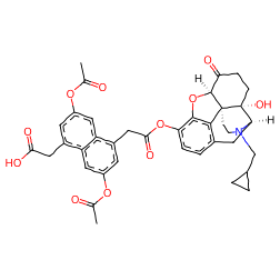 CC(=O)Oc1cc(CC(=O)Oc2ccc3c4c2O[C@H]2C(=O)CC[C@@]5(O)[C@@H](C3)N(CC3CC3)CC[C@]425)c2cc(OC(C)=O)cc(CC(=O)O)c2c1